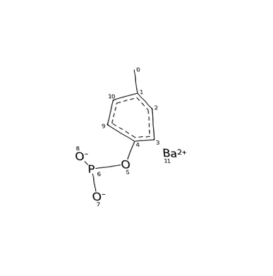 Cc1ccc(OP([O-])[O-])cc1.[Ba+2]